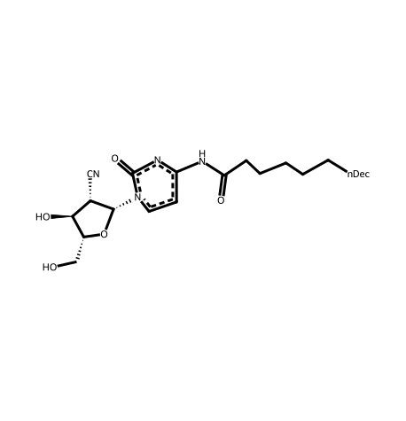 CCCCCCCCCCCCCCCC(=O)Nc1ccn([C@@H]2O[C@H](CO)[C@@H](O)[C@@H]2C#N)c(=O)n1